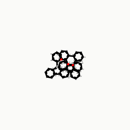 c1ccc(-n2c3ccccc3c3ccc4c5ccccc5n(-c5ccccc5-c5ccccc5-n5c6ccccc6c6ccccc65)c4c32)cc1